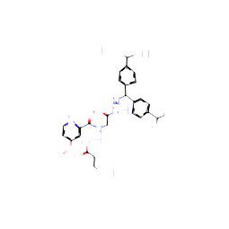 CCCC(=O)Oc1c(OC)ccnc1C(=O)N[C@@H](C)C(=O)NN(C)C(c1ccc(C(C)C)cc1)c1ccc(C(C)C)cc1